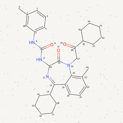 Cc1cccc(NC(=O)NC2N=C(C3CCCCC3)c3cccc(C)c3N(CC(=O)C3CCCCC3)C2=O)c1